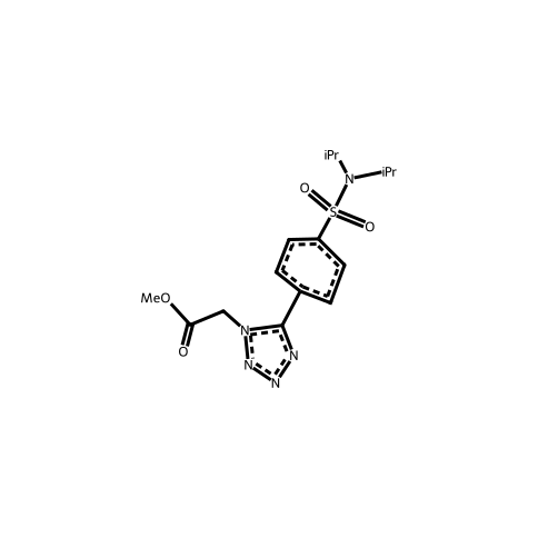 COC(=O)Cn1nnnc1-c1ccc(S(=O)(=O)N(C(C)C)C(C)C)cc1